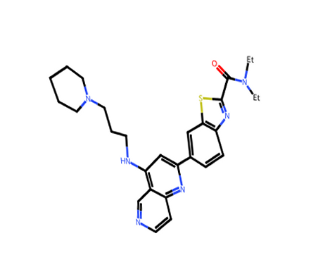 CCN(CC)C(=O)c1nc2ccc(-c3cc(NCCCN4CCCCC4)c4cnccc4n3)cc2s1